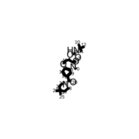 CN1C(=O)[C@@H](OC(=O)NC(C)(C)C)COc2ccc(C(=O)N3CCC(C)(C)CC3)cc21